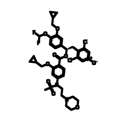 CS(=O)(=O)N(CCN1CCOCC1)c1ccc(C(=O)O[C@@H](Cc2c(Cl)c[n+]([O-])cc2Cl)c2ccc(OC(F)F)c(OCC3CC3)c2)c(OCC2CC2)c1